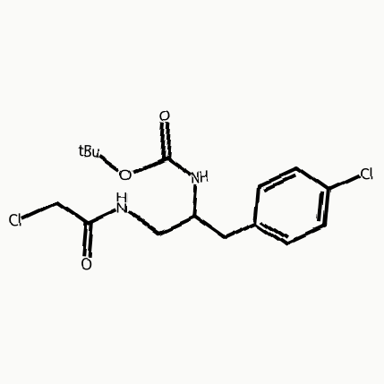 CC(C)(C)OC(=O)NC(CNC(=O)CCl)Cc1ccc(Cl)cc1